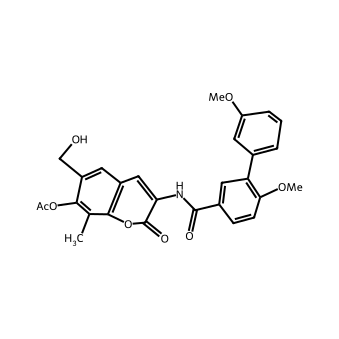 COc1cccc(-c2cc(C(=O)Nc3cc4cc(CO)c(OC(C)=O)c(C)c4oc3=O)ccc2OC)c1